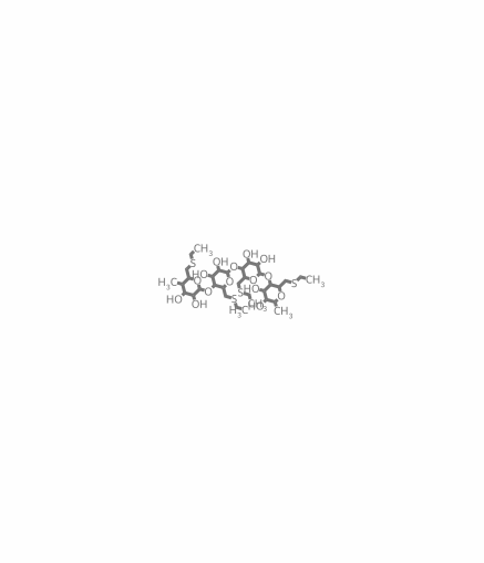 CCSCC1OC(OC2C(CSCC)OC(OC3C(CSCC)OC(OC4C(CSCC)OC(C)C(O)C4O)C(O)C3O)C(O)C2O)C(O)C(O)C1C